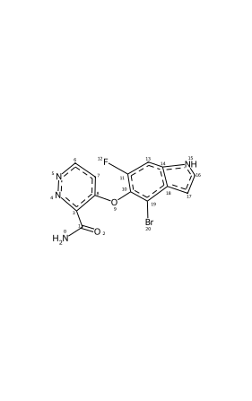 NC(=O)c1nnccc1Oc1c(F)cc2[nH]ccc2c1Br